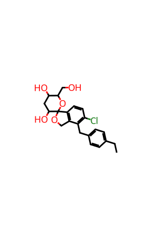 CCc1ccc(Cc2c(Cl)ccc3c2COC32OC(CO)C(O)CC2O)cc1